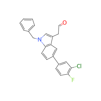 O=CCc1cn(Cc2ccccc2)c2ccc(-c3ccc(F)c(Cl)c3)cc12